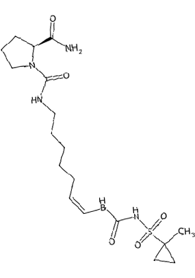 CC1(S(=O)(=O)NC(=O)B/C=C\CCCCCNC(=O)N2CCC[C@H]2C(N)=O)CC1